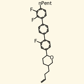 C=CCCC1CCC(c2ccc(-c3ccc(-c4ccc(CCCCC)c(F)c4F)cc3)c(F)c2)OC1